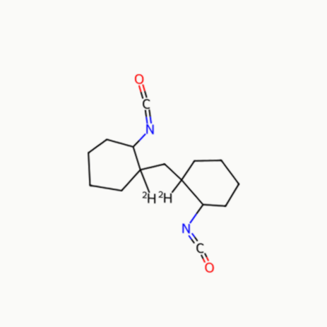 [2H]C1(CC2([2H])CCCCC2N=C=O)CCCCC1N=C=O